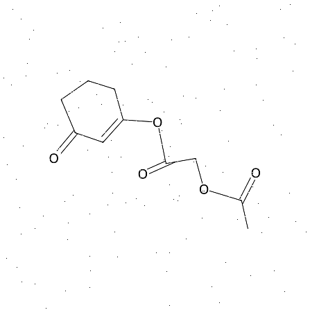 CC(=O)OCC(=O)OC1=CC(=O)CCC1